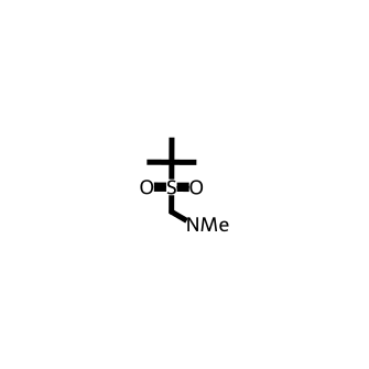 [CH2]NCS(=O)(=O)C(C)(C)C